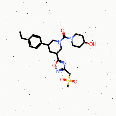 CCc1ccc(C2CC(c3nc(CS(C)(=O)=O)no3)CN(C(=O)N3CCC(O)CC3)C2)cc1